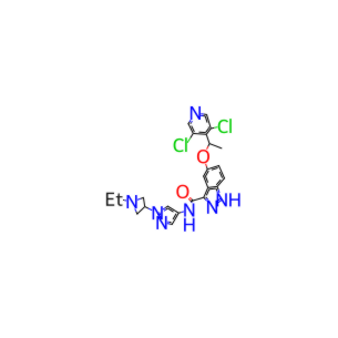 CCN1CC(n2cc(NC(=O)c3n[nH]c4ccc(OC(C)c5c(Cl)cncc5Cl)cc34)cn2)C1